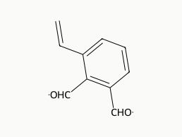 C=Cc1cccc([C]=O)c1[C]=O